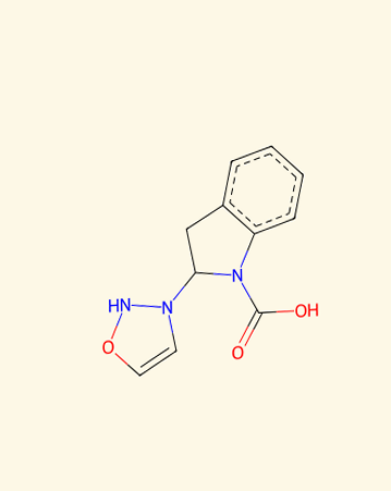 O=C(O)N1c2ccccc2CC1N1C=CON1